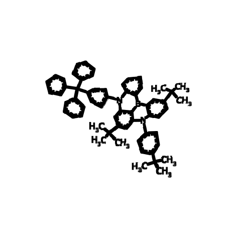 CC(C)(C)c1ccc(N2c3ccc(C(C)(C)C)cc3B3c4ccccc4N(c4ccc(C(c5ccccc5)(c5ccccc5)c5ccccc5)cc4)c4cc(C(C)(C)C)cc2c43)cc1